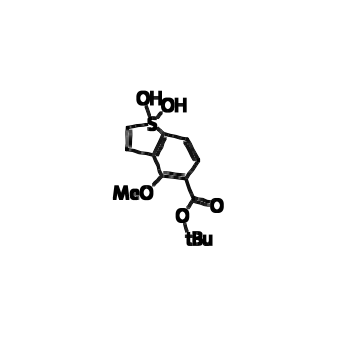 COc1c(C(=O)OC(C)(C)C)ccc2c1C=CS2(O)O